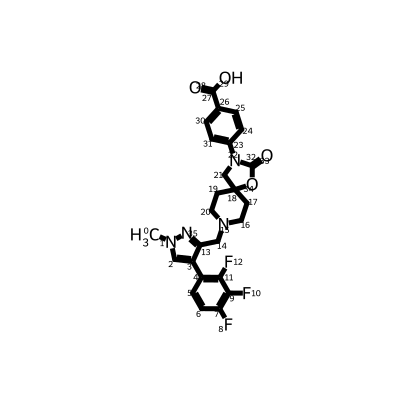 Cn1cc(-c2ccc(F)c(F)c2F)c(CN2CCC3(CC2)CN(c2ccc(C(=O)O)cc2)C(=O)O3)n1